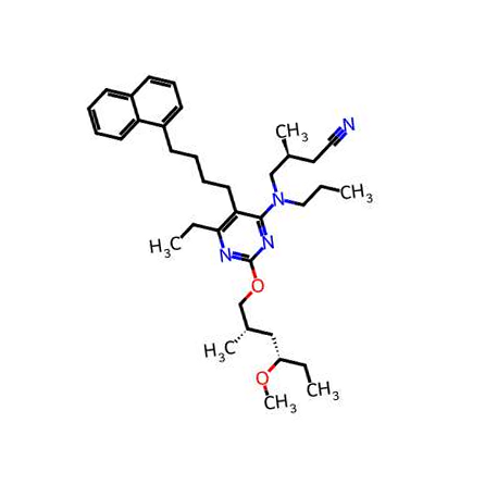 CCCN(C[C@@H](C)CC#N)c1nc(OC[C@@H](C)C[C@H](CC)OC)nc(CC)c1CCCCc1cccc2ccccc12